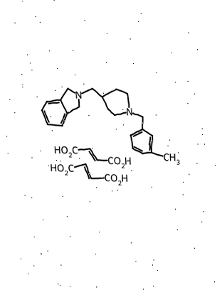 Cc1cccc(CN2CCC(CN3Cc4ccccc4C3)CC2)c1.O=C(O)C=CC(=O)O.O=C(O)C=CC(=O)O